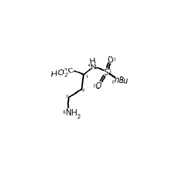 CCCCS(=O)(=O)NC(CCN)C(=O)O